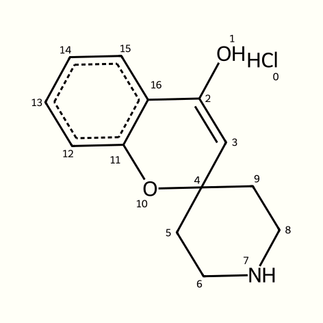 Cl.OC1=CC2(CCNCC2)Oc2ccccc21